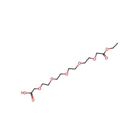 CCOC(=O)COCCOCCOCCOCCOCC(=O)O